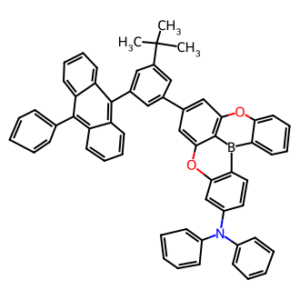 CC(C)(C)c1cc(-c2cc3c4c(c2)Oc2cc(N(c5ccccc5)c5ccccc5)ccc2B4c2ccccc2O3)cc(-c2c3ccccc3c(-c3ccccc3)c3ccccc23)c1